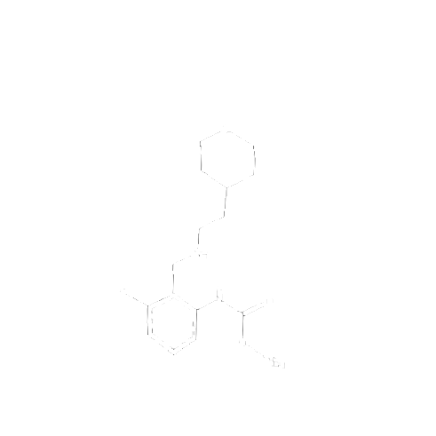 CC(C)(C)OC(=O)Nc1cccc(F)c1CNCCC1CCSCC1